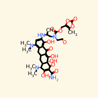 Cc1oc(=O)oc1COC(=O)N(CC=O)CC(C)Nc1cc(N(C)C)c2c(c1O)C(=O)C1=C(O)[C@@]3(O)C(=O)C(C(N)=O)=C(O)[C@@H](N(C)C)C3CC1C2